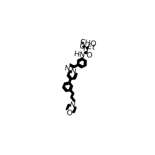 CCN(OC=O)C(=O)Nc1cccc(-c2cnc3cc(-c4cccc(CCCN5CCOCC5)c4)ccn23)c1